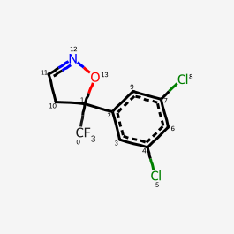 FC(F)(F)C1(c2cc(Cl)cc(Cl)c2)CC=NO1